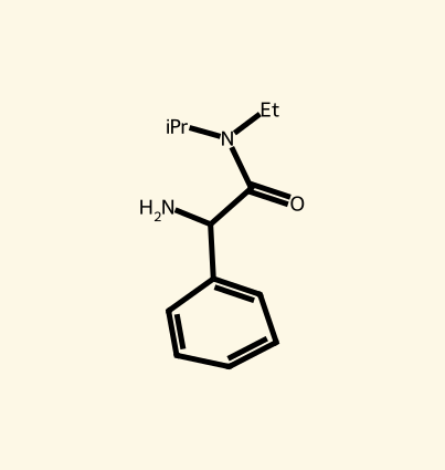 CCN(C(=O)C(N)c1ccccc1)C(C)C